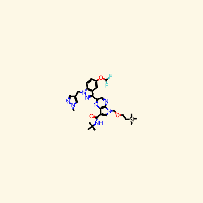 Cn1cc(Cn2nc(-c3cnc4c(n3)c(C(=O)NC(C)(C)C)cn4COCC[Si](C)(C)C)c3cc(OC(F)F)ccc32)cn1